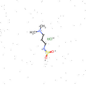 CN(C)CCCN=S(=O)=O.Cl